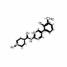 CC(=O)N1CCC(C(=O)Nc2ncc(-c3cccc(C=O)c3F)cn2)CC1